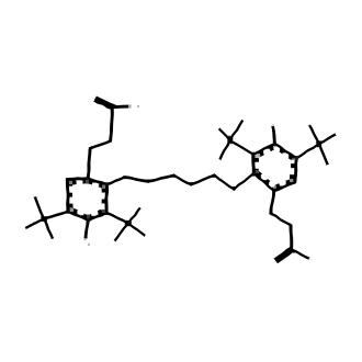 CC(C)(C)c1cc(CCC(=O)O)c(CCCCCCc2c(CCC(=O)O)cc(C(C)(C)C)c(O)c2C(C)(C)C)c(C(C)(C)C)c1O